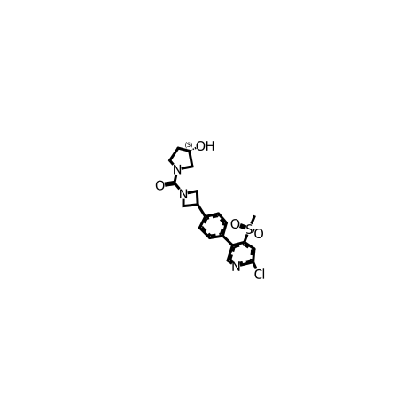 CS(=O)(=O)c1cc(Cl)ncc1-c1ccc(C2CN(C(=O)N3CC[C@H](O)C3)C2)cc1